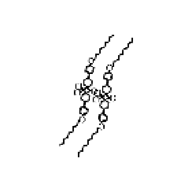 CCCCCCCCCCOc1ccc(C2CCC3(CC2)C(=O)C2(CCC(c4ccc(OCCCCCCCCCC)cc4)CC2)C3(Cl)Cl)cc1.CCCCCCCCCOc1ccc(C2CCC3(CC2)C(=O)C2(CCC(c4ccc(OCCCCCCCCC)cc4)CC2)C3(Cl)Cl)cc1